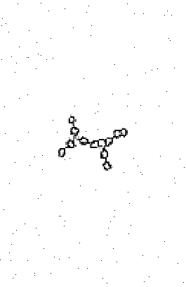 c1ccc(-c2ccc(N(c3ccc(-c4ccccc4)cc3)c3ccc(-c4ccc5c(c4)Cc4cc(-c6ccc7ccccc7c6)ccc4N5c4ccc(-c5ccccc5)cc4)cc3)cc2)cc1